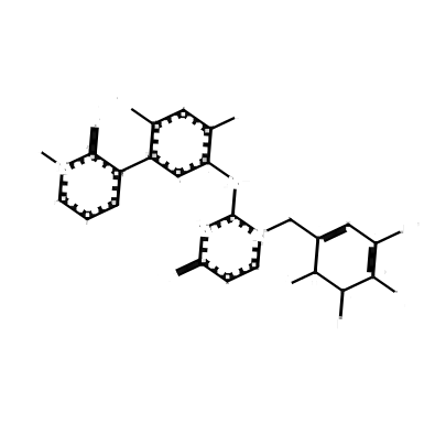 Cc1cc(F)c(-c2cccn(C)c2=O)cc1Nc1nc(=O)ccn1CC1=CC(F)=C(F)C(F)C1C